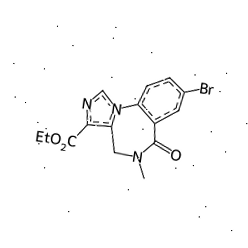 CCOC(=O)c1ncn2c1CN(C)C(=O)c1cc(Br)ccc1-2